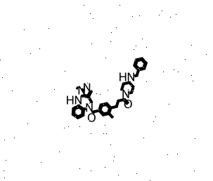 Cc1cc(C(=O)N2Cc3cnn(C)c3Nc3ccccc32)ccc1CCC(=O)N1CCC(NCc2ccccc2)CC1